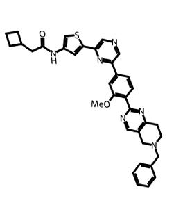 COc1cc(-c2cncc(-c3cc(NC(=O)CC4CCC4)cs3)n2)ccc1-c1ncc2c(n1)CCN(Cc1ccccc1)C2